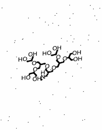 CNCC(COCC(COC(CO)CO)COC(CO)CO)COCC(COC(CO)CO)COC(CO)CO